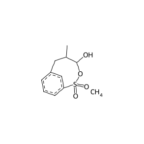 C.CC1Cc2cccc(c2)S(=O)(=O)OC1O